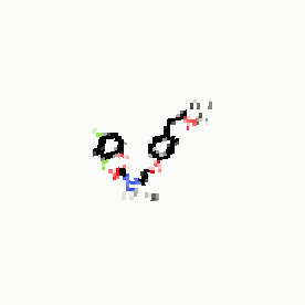 CCCCCN(CCOc1ccc(CC(OCC)C(=O)O)cc1)C(=O)Oc1ccc(F)cc1F